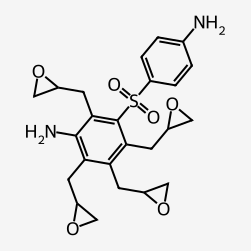 Nc1ccc(S(=O)(=O)c2c(CC3CO3)c(N)c(CC3CO3)c(CC3CO3)c2CC2CO2)cc1